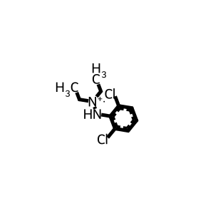 CC[N+](CC)Nc1c(Cl)cccc1Cl